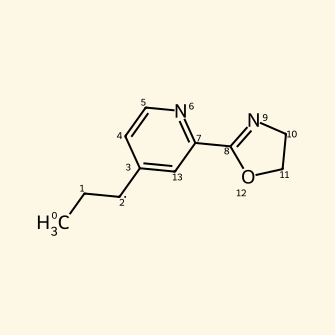 CC[CH]c1ccnc(C2=NCCO2)c1